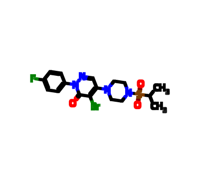 CC(C)S(=O)(=O)N1CCN(c2cnn(-c3ccc(F)cc3)c(=O)c2Br)CC1